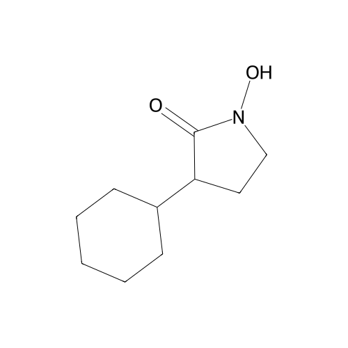 O=C1C(C2CCCCC2)CCN1O